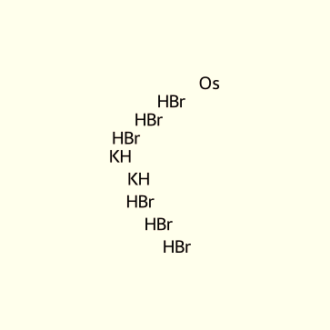 Br.Br.Br.Br.Br.Br.[KH].[KH].[Os]